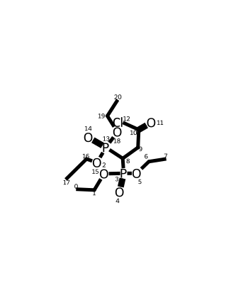 CCOP(=O)(OCC)C(CC(=O)Cl)P(=O)(OCC)OCC